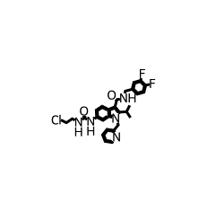 CC(C)c1c(C(=O)NCc2ccc(F)c(F)c2)c2ccc(NC(=O)NCCCl)cc2n1Cc1ccccn1